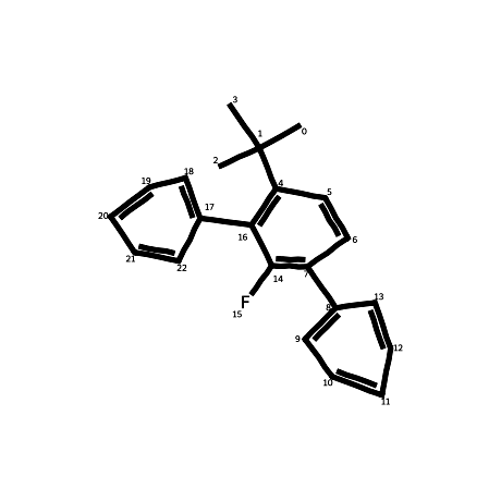 CC(C)(C)c1ccc(-c2ccccc2)c(F)c1-c1ccccc1